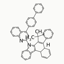 CC1(C)C2=C(c3ccccc31)[C@H]1C=CC=CC1c1c2n(-c2cc(-c3ccc(-c4ccccc4)cc3)c3ccccc3n2)c2ccccc12